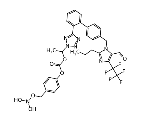 CCCc1nc(C(F)(F)C(F)(F)F)c(C=O)n1Cc1ccc(-c2ccccc2-c2nnn(C(C)OC(=O)Oc3ccc(CON(O)O)cc3)n2)cc1